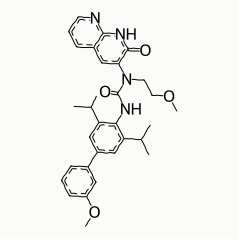 COCCN(C(=O)Nc1c(C(C)C)cc(-c2cccc(OC)c2)cc1C(C)C)c1cc2cccnc2[nH]c1=O